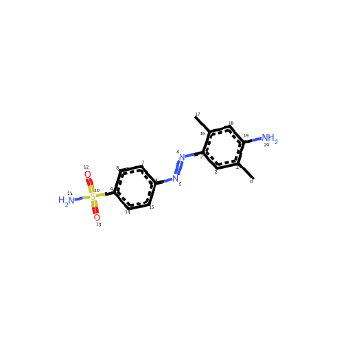 Cc1cc(N=Nc2ccc(S(N)(=O)=O)cc2)c(C)cc1N